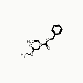 C=CN(CC(=O)OC)C(=O)OCc1ccccc1